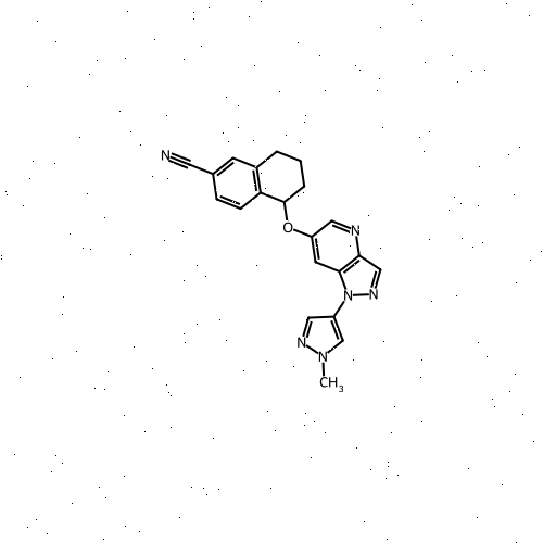 Cn1cc(-n2ncc3ncc(OC4CCCc5cc(C#N)ccc54)cc32)cn1